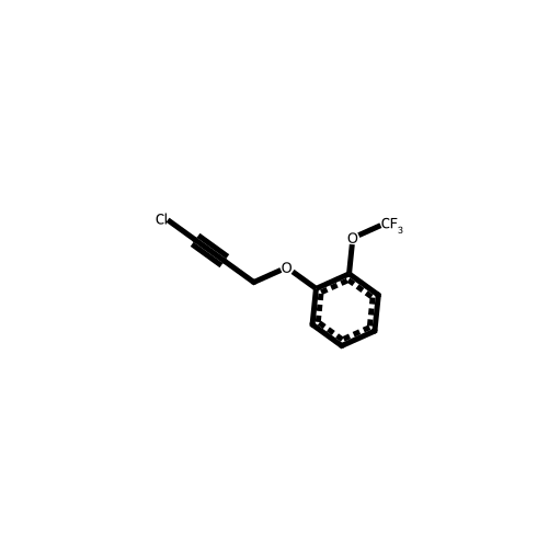 FC(F)(F)Oc1ccccc1OCC#CCl